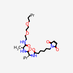 CC(C)CCOCCOCCNC(=O)[C@H](C)NC(=O)[C@@H](NC(=O)CCCCCN1C(=O)C=CC1=O)C(C)C